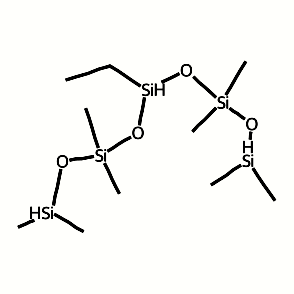 CC[SiH](O[Si](C)(C)O[SiH](C)C)O[Si](C)(C)O[SiH](C)C